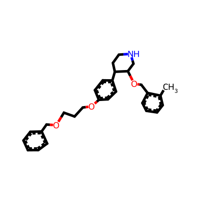 Cc1ccccc1COC1CNCCC1c1ccc(OCCCOCc2ccccc2)cc1